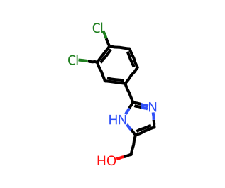 OCc1cnc(-c2ccc(Cl)c(Cl)c2)[nH]1